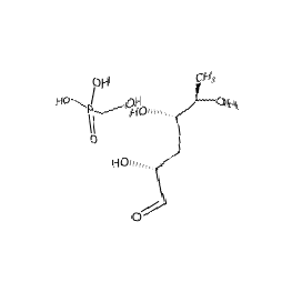 C[C@@H](O)[C@@H](O)C[C@@H](O)C=O.O=P(O)(O)O